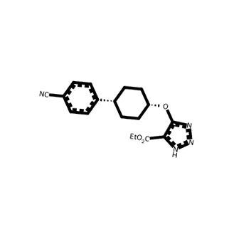 CCOC(=O)c1[nH]nnc1O[C@H]1CC[C@@H](c2ccc(C#N)cc2)CC1